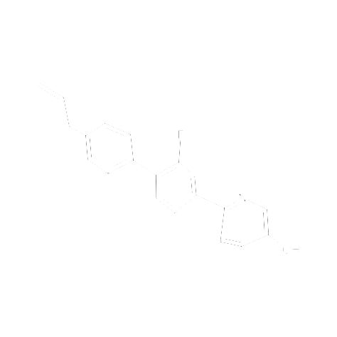 C=CCc1ccc(-c2ccc(-c3ccc(O)cn3)cc2F)cc1